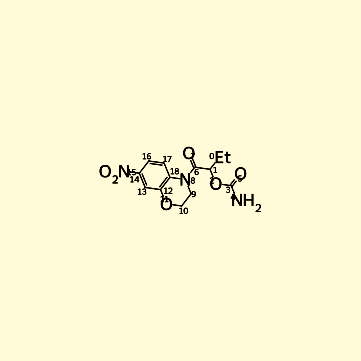 CCC(OC(N)=O)C(=O)N1CCOc2cc([N+](=O)[O-])ccc21